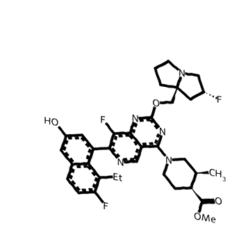 CCc1c(F)ccc2cc(O)cc(-c3ncc4c(N5CC[C@H](C(=O)OC)[C@H](C)C5)nc(OC[C@@]56CCCN5C[C@H](F)C6)nc4c3F)c12